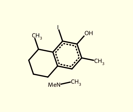 CNC.Cc1cc2c(c(I)c1O)C(C)CCC2